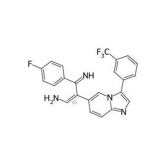 N=C(/C(=C\N)c1ccc2ncc(-c3cccc(C(F)(F)F)c3)n2c1)c1ccc(F)cc1